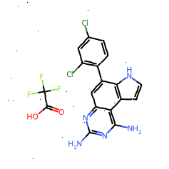 Nc1nc(N)c2c(cc(-c3ccc(Cl)cc3Cl)c3[nH]ccc32)n1.O=C(O)C(F)(F)F